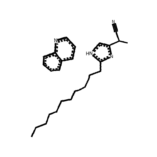 CCCCCCCCCCCc1nc(C(C)C#N)c[nH]1.c1ccc2ncccc2c1